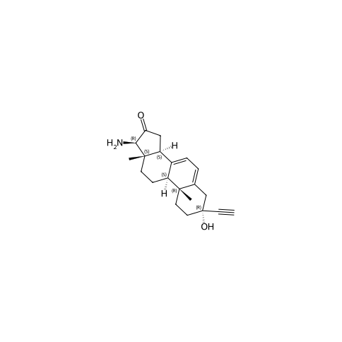 C#C[C@@]1(O)CC[C@@]2(C)C(=CC=C3[C@@H]4CC(=O)[C@H](N)[C@@]4(C)CC[C@@H]32)C1